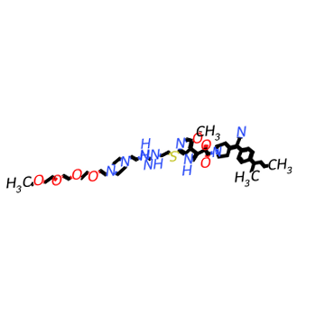 CCCC(CC)c1ccc(C(C#N)=C2CCN(C(=O)C(=O)c3c[nH]c4c(SCCNC(=N)NCCN5CCN(CCOCCOCCOCCOCC)CC5)ncc(OC)c34)CC2)cc1